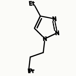 CCc1cn(CCC(C)C)nn1